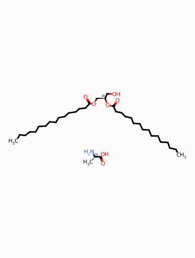 CCCCCCCCCCCCCCCC(=O)OC[C@@H](CO)OC(=O)CCCCCCCCCCCCCCC.C[C@H](N)C(=O)O